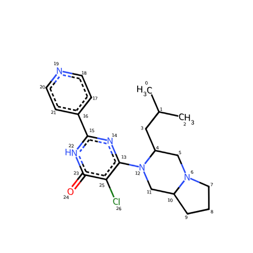 CC(C)CC1CN2CCCC2CN1c1nc(-c2ccncc2)[nH]c(=O)c1Cl